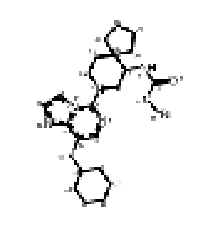 CC(C)(C)OC(=O)NC1CN(c2ncc(SC3CCCCC3)c3nccn23)CCC12CCCC2